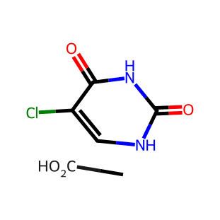 CC(=O)O.O=c1[nH]cc(Cl)c(=O)[nH]1